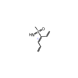 C=C/C=C(\C=C)S(C)(=N)=O